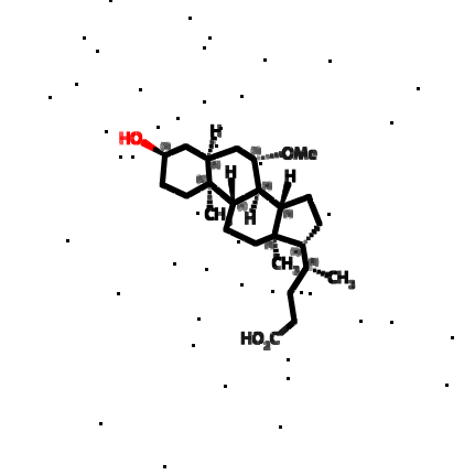 CO[C@H]1C[C@@H]2C[C@H](O)CC[C@]2(C)[C@H]2CC[C@]3(C)[C@@H]([C@H](C)CCC(=O)O)CC[C@H]3[C@H]12